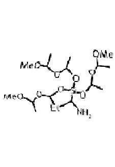 CCC(N)[Si](OC(C)OC(C)OC)(OC(C)OC(C)OC)OC(C)OC(C)OC